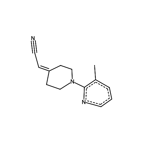 Cc1cccnc1N1CCC(=CC#N)CC1